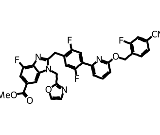 COC(=O)c1cc(F)c2nc(Cc3cc(F)c(-c4cccc(OCc5ccc(C#N)cc5F)n4)cc3F)n(Cc3ncco3)c2c1